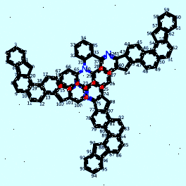 C1=c2ccccc2=c2ccc3ccc4c5c(ccc4c3c21)-c1nc(-c2ccccc2N(c2ccccc2-c2ccc3c(n2)-c2ccc4c(ccc6ccc7c(c64)C=c4ccccc4=7)c2=C3)c2ccccc2-c2ccc3c(n2)-c2ccc4c(ccc6ccc7c(c64)C=c4ccccc4=7)c2=C3)ccc1C=5